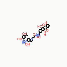 COc1cccc2c1C(=O)c1c(O)c3c(c(O)c1C2=O)CC(/C(CO)=N/NC(=O)CCn1ccc2cc(-n4c(O)nnc4-c4cc(C(C)C)c(O)cc4O)ccc21)CC3